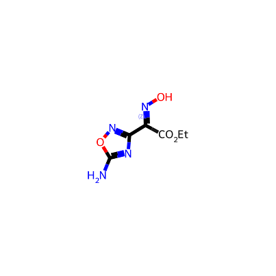 CCOC(=O)/C(=N\O)c1noc(N)n1